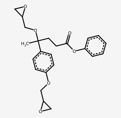 CC(CCC(=O)Oc1ccccc1)(OCC1CO1)c1ccc(OCC2CO2)cc1